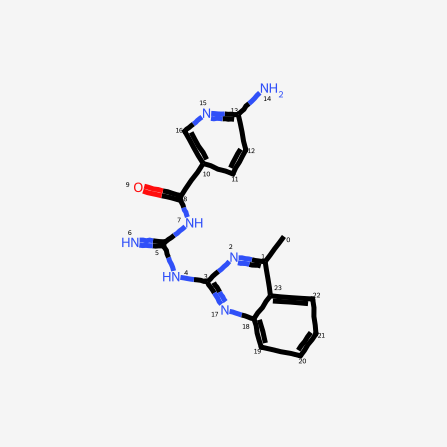 Cc1nc(NC(=N)NC(=O)c2ccc(N)nc2)nc2ccccc12